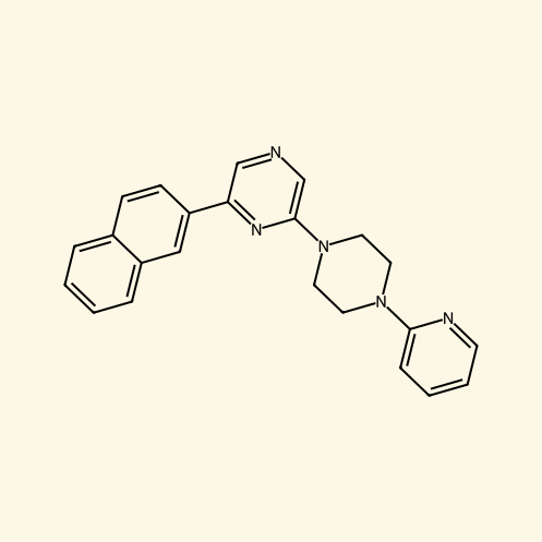 c1ccc(N2CCN(c3cncc(-c4ccc5ccccc5c4)n3)CC2)nc1